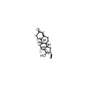 C=C[C@@H]1C[C@H]2[C@@H]3CCC4=CC(=O)CC[C@@H]4[C@H]3CC[C@]2(C)[C@H]1O